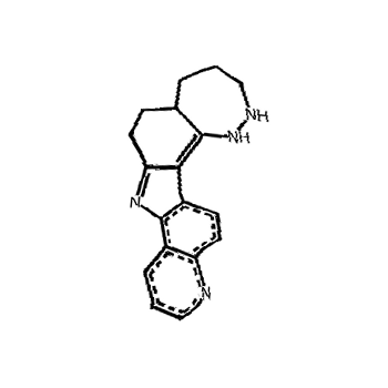 c1cnc2ccc3c(c2c1)N=C1CCC2CCCNNC2=C13